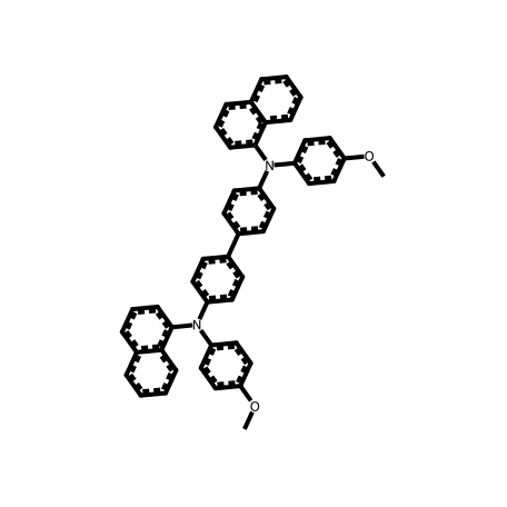 COc1ccc(N(c2ccc(-c3ccc(N(c4ccc(OC)cc4)c4cccc5ccccc45)cc3)cc2)c2cccc3ccccc23)cc1